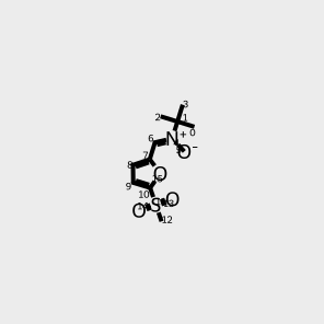 CC(C)(C)[N+]([O-])=Cc1ccc(S(C)(=O)=O)o1